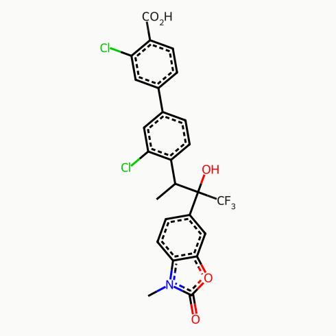 CC(c1ccc(-c2ccc(C(=O)O)c(Cl)c2)cc1Cl)C(O)(c1ccc2c(c1)oc(=O)n2C)C(F)(F)F